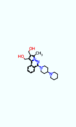 Cc1c(CO)c(CO)c2c3ccccc3c(N3CCC(N4CCCCC4)CC3)nn12